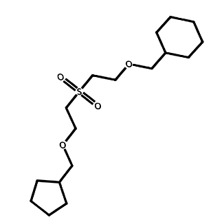 O=S(=O)(CCOCC1CCCCC1)CCOCC1CCCC1